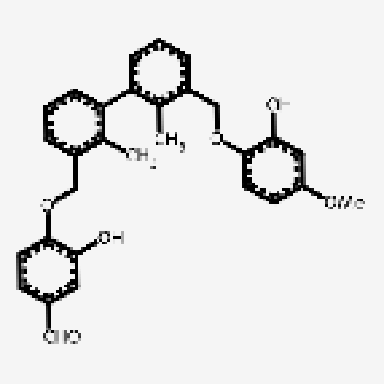 COc1ccc(OCc2cccc(-c3cccc(COc4ccc(C=O)cc4O)c3C)c2C)c(O)c1